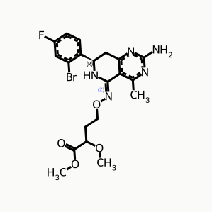 COC(=O)C(CCO/N=C1\N[C@@H](c2ccc(F)cc2Br)Cc2nc(N)nc(C)c21)OC